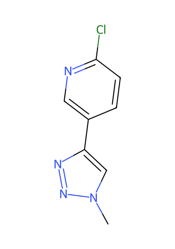 Cn1cc(-c2ccc(Cl)nc2)nn1